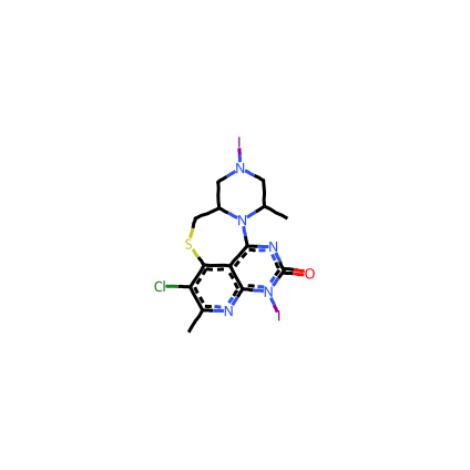 Cc1nc2c3c(nc(=O)n2I)N2C(C)CN(I)CC2CSc3c1Cl